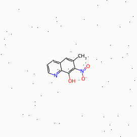 Cc1cc2cccnc2c(O)c1[N+](=O)[O-]